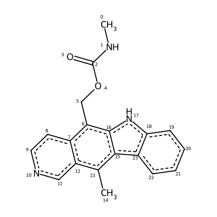 CNC(=O)OCc1c2ccncc2c(C)c2c1[nH]c1ccccc12